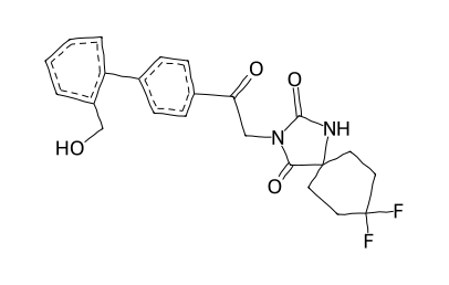 O=C(CN1C(=O)NC2(CCC(F)(F)CC2)C1=O)c1ccc(-c2ccccc2CO)cc1